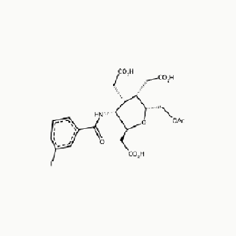 CC(=O)OC[C@@H]1O[C@@H](CC(=O)O)[C@H](NC(=O)c2cccc(I)c2)[C@H](CC(=O)O)[C@@H]1CC(=O)O